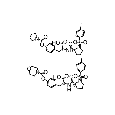 Cc1ccc(S(=O)(=O)N2CCC[C@H]2C(=O)N[C@@H](Cc2ccc(OC(=O)N3CCCC3)cc2)C(=O)O)cc1.Cc1ccc(S(=O)(=O)N2CCC[C@H]2C(=O)N[C@@H](Cc2ccc(OC(=O)N3CCOCC3)cc2)C(=O)O)cc1